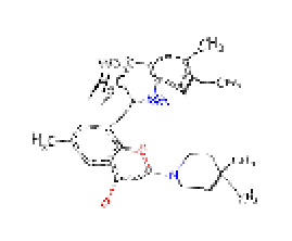 Cc1cc(C(C)Nc2cc(C)c(C)cc2C(=O)O)c2oc(N3CCC(C)(C)CC3)cc(=O)c2c1